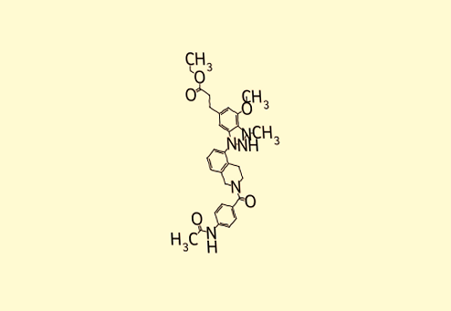 CCOC(=O)CCc1cc(OC)c2c(c1)N(c1cccc3c1CCN(C(=O)c1ccc(NC(C)=O)cc1)C3)NN2C